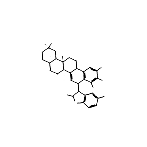 Cc1c(O)c(O)cc2c1C(C1c3cc(Br)ccc3NC1C)C=C1[C@@]2(C)CC[C@@]2(C)[C@@H]3C[C@](C)(C(=O)O)CC[C@]3(C)CC[C@]12C